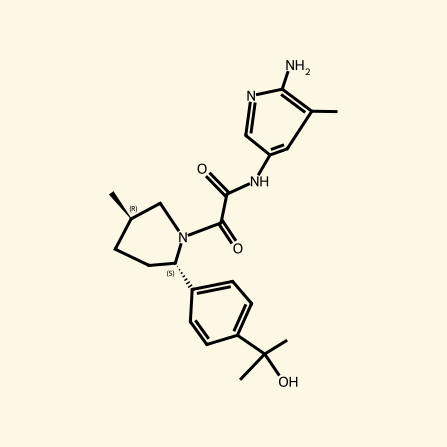 Cc1cc(NC(=O)C(=O)N2C[C@H](C)CC[C@H]2c2ccc(C(C)(C)O)cc2)cnc1N